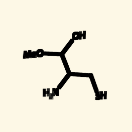 COC(O)C(N)CS